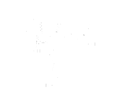 CCCCCCc1c(C(=O)CCCC(=O)O)c2ccccc2n1C